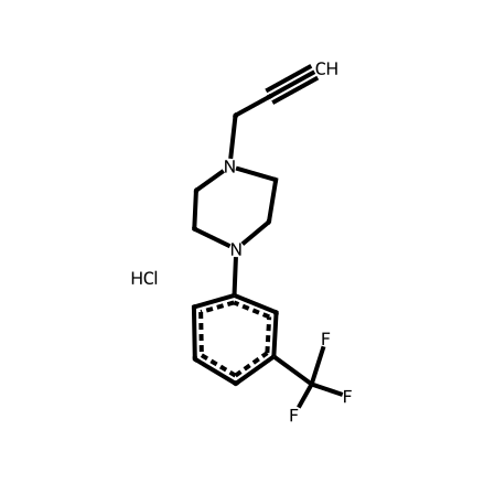 C#CCN1CCN(c2cccc(C(F)(F)F)c2)CC1.Cl